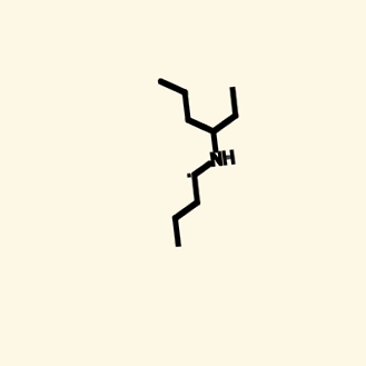 CCC[CH]NC(CC)CCC